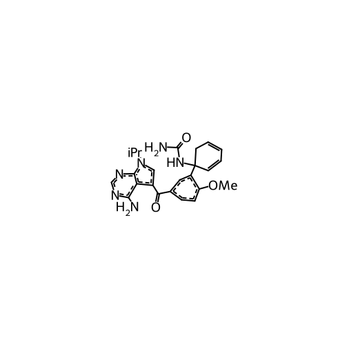 COc1ccc(C(=O)c2cn(C(C)C)c3ncnc(N)c23)cc1C1(NC(N)=O)C=CC=CC1